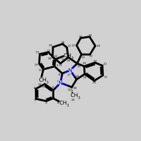 Cc1ccccc1N1C(c2c(C)cccc2C)N2C(c3ccccc3C2(C2CCCCC2)C2CCCCC2)[C@@H]1C